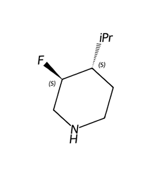 CC(C)[C@@H]1CCNC[C@H]1F